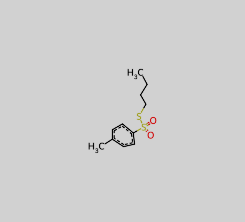 CCCCSS(=O)(=O)c1ccc(C)cc1